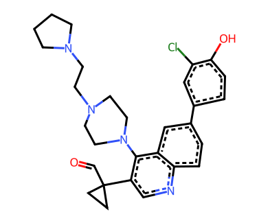 O=CC1(c2cnc3ccc(-c4ccc(O)c(Cl)c4)cc3c2N2CCN(CCN3CCCC3)CC2)CC1